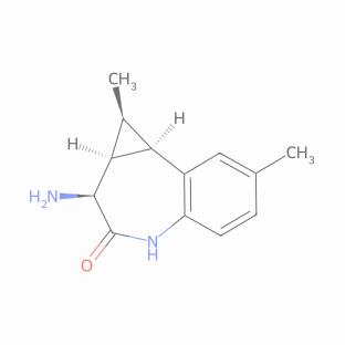 Cc1ccc2c(c1)[C@@H]1[C@H](C)[C@@H]1[C@H](N)C(=O)N2